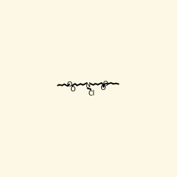 CCCCCOC(=O)CCCCCN(CCCl)CCCCCC(=O)OCCCCC